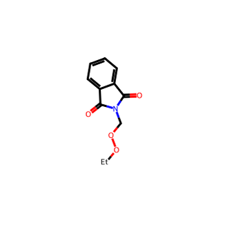 CCOOCN1C(=O)c2ccccc2C1=O